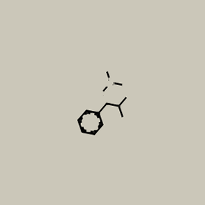 CC(C)[C@@H](CN(C)C)c1ccccc1